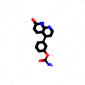 NC(=O)Oc1cccc(-c2ccnc3[nH]c(=O)ccc23)c1